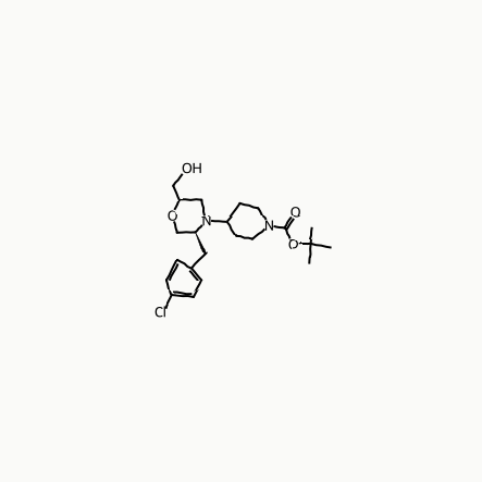 CC(C)(C)OC(=O)N1CCC(N2CC(CO)OC[C@@H]2Cc2ccc(Cl)cc2)CC1